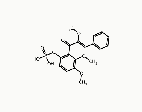 COC(=Cc1ccccc1)C(=O)c1c(OP(=O)(O)O)ccc(OC)c1OC